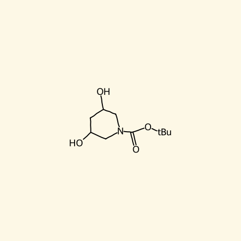 CC(C)(C)OC(=O)N1CC(O)CC(O)C1